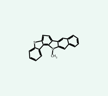 Cn1c2cc3ccccc3cc2c2ccc3sc4ccccc4c3c21